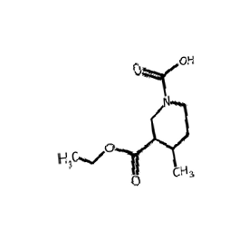 CCOC(=O)C1CN(C(=O)O)CCC1C